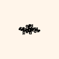 CN(C)CC(=O)Nc1nc2c(Cl)c3nc(NC(=O)CN(C)C)sc3c(C(=O)O)c2s1